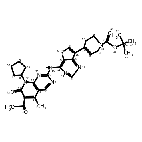 CC(=O)c1c(C)c2cnc(Nc3ncnc4c(C5=CCN(C(=O)OC(C)(C)C)CC5)csc34)nc2n(C2CCCC2)c1=O